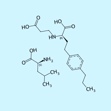 CC(C)C[C@H](N)C(=O)O.CCCc1ccc(CC[C@@H](NCCC(=O)O)C(=O)O)cc1